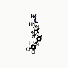 C=N/C(C)=C\C=C(/C)Nc1ncc2c(n1)N(C)C(=O)N(c1cc(-c3nc4cc(Cl)c(Cl)cc4[nH]3)ccc1C)C2